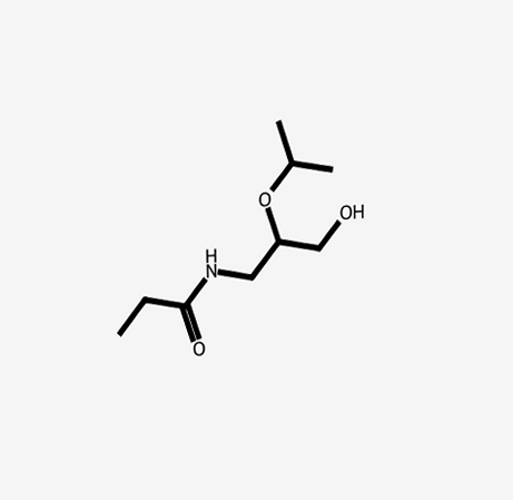 CCC(=O)NCC(CO)OC(C)C